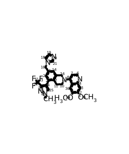 COc1cc2nccc(N3CCc4c(cc(Cn5ccnc5)cc4-c4cn(C)nc4C(F)(F)F)C3)c2cc1OC